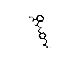 NC(=O)Cc1ccc(CNC(=O)c2ccccc2C(=O)O)cc1